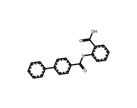 O=C(Sc1ccccc1C(=O)O)c1ccc(-c2ccccc2)cc1